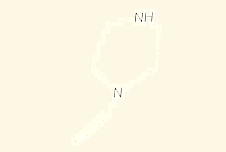 [CH]=CN1CCNCC1